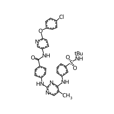 Cc1cnc(Nc2ccc(C(=O)Nc3ccc(Oc4ccc(Cl)cc4)nc3)cc2)nc1Nc1cccc(S(=O)(=O)NC(C)(C)C)c1